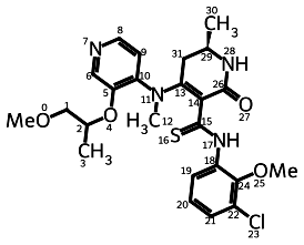 COCC(C)Oc1cnccc1N(C)C1=C(C(=S)Nc2cccc(Cl)c2OC)C(=O)N[C@H](C)C1